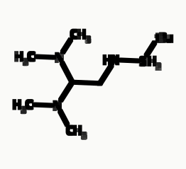 CN(C)C(CN[SiH2]C(C)(C)C)N(C)C